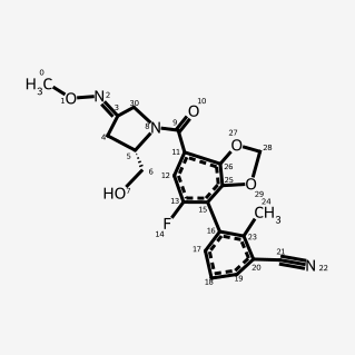 CO/N=C1\C[C@@H](CO)N(C(=O)c2cc(F)c(-c3cccc(C#N)c3C)c3c2OCO3)C1